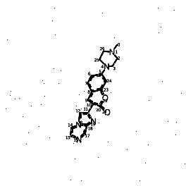 CN1CCN(c2ccc3cc(-c4cn5ccncc5n4)c(=O)oc3c2)CC1